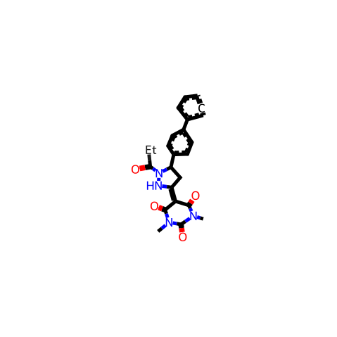 CCC(=O)N1NC(=C2C(=O)N(C)C(=O)N(C)C2=O)CC1c1ccc(-c2ccccc2)cc1